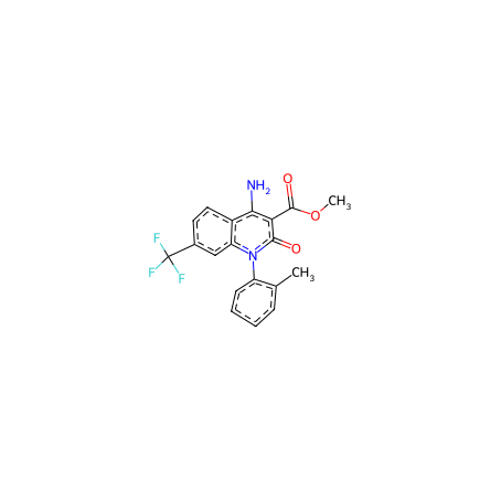 COC(=O)c1c(N)c2ccc(C(F)(F)F)cc2n(-c2ccccc2C)c1=O